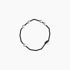 [CH]1CCC/C=C/CCCCCCCCCC1